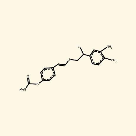 CNC(=O)Oc1ccc(/C=C/SCC(Cl)c2ccc(C)c(N)c2)cc1